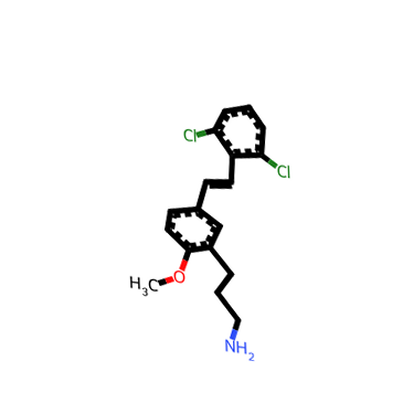 COc1ccc(C=Cc2c(Cl)cccc2Cl)cc1CCCN